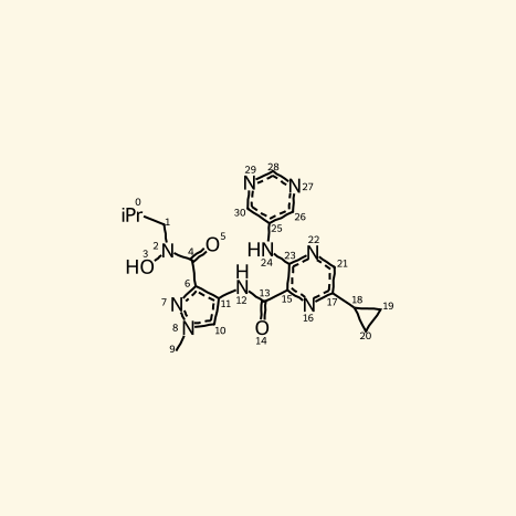 CC(C)CN(O)C(=O)c1nn(C)cc1NC(=O)c1nc(C2CC2)cnc1Nc1cncnc1